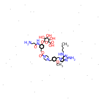 CCCCCNc1nc(N)nc2ccn(Cc3ccc(CN4CCN(C(=O)OCc5ccc(O[C@@H]6O[C@H](C(=O)O)[C@@H](O)[C@H](O)[C@H]6O)c(NC(=O)CCN)c5)CC4)cc3OC)c12